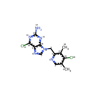 Cc1cnc(Cn2cnc3c(Cl)nc(N)nc32)c(C)c1Cl